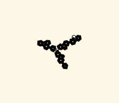 CC1(C)c2cc(-c3ccccc3)ccc2-c2ccc(N(c3ccc(-c4ccc5c6c(cccc46)-c4ccccc4-5)cc3)c3ccc4c(c3)C(C)(C)c3cc(-c5ccc6c(c5)oc5ccccc56)ccc3-4)cc21